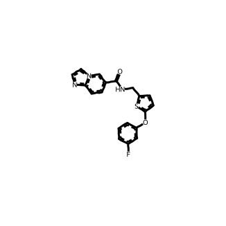 O=C(NCc1ccc(Oc2cccc(F)c2)s1)c1ccc2nccn2c1